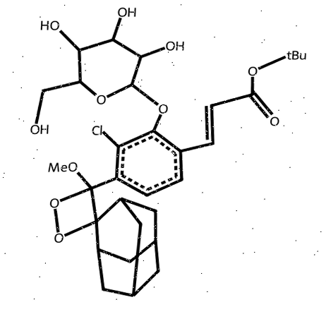 COC1(c2ccc(/C=C/C(=O)OC(C)(C)C)c(OC3OC(CO)C(O)C(O)C3O)c2Cl)OOC12C1CC3CC(C1)CC2C3